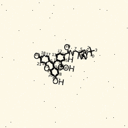 CC(C)(C)n1cc(CNC(=O)c2ccc(-c3c4ccc(=O)cc-4oc4cc(O)ccc34)c(C(=O)O)c2)nn1